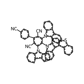 N#Cc1ccc(-c2c(C#N)c(-n3c4ccccc4c4ccccc43)c(-n3c4ccccc4c4c5c(ccc43)sc3ccccc35)c(-n3c4ccccc4c4ccccc43)c2C#N)cc1